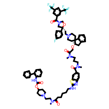 CN(CCN1CCC(OC(=O)Nc2ccccc2-c2ccccc2)CC1)C(=O)CCCCCNc1nc2ccc(C(=O)N(C)CCCN(C)C(=O)CO[C@H]3Cc4ccccc4C34CCN(CC[C@]3(c5ccc(F)cc5)CN(C(=O)c5cc(C(F)(F)F)cc(C(F)(F)F)c5)CO3)CC4)cc2s1